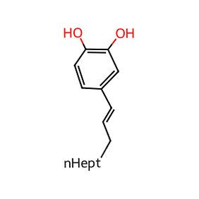 CCCCCCCCC=Cc1ccc(O)c(O)c1